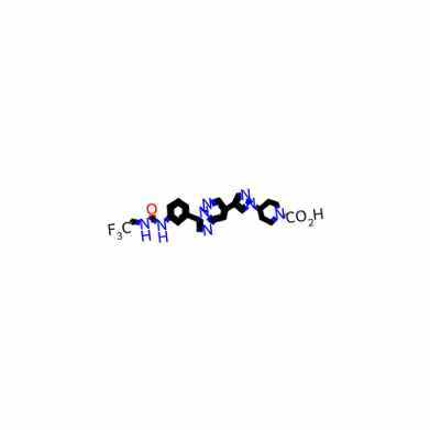 O=C(NCC(F)(F)F)Nc1cccc(-c2cnc3cc(-c4cnn(C5CCN(C(=O)O)CC5)c4)cnn23)c1